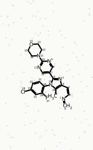 C=N/C=C\c1nc(-c2cnc(N3CCOCC3)nc2)n(-c2ccc(Cl)cc2F)c1C